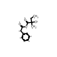 [CH2]C(Cl)(CC)C(=O)OC(=O)Cc1ccccc1